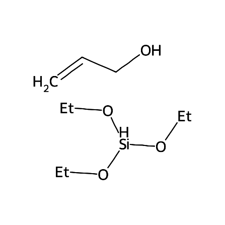 C=CCO.CCO[SiH](OCC)OCC